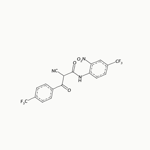 N#CC(C(=O)Nc1ccc(C(F)(F)F)cc1[N+](=O)[O-])C(=O)c1ccc(C(F)(F)F)cc1